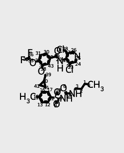 CCCCNC(=O)NS(=O)(=O)c1ccc(C)cc1.O=C(Nc1c(Cl)cncc1Cl)c1ccc(OC(F)F)c(OCC2CC2)c1